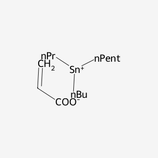 C=CC(=O)[O-].CCCC[CH2][Sn+]([CH2]CC)[CH2]CCC